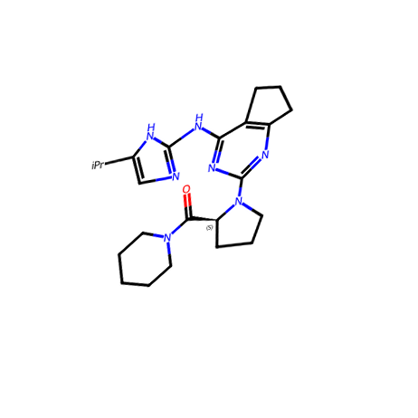 CC(C)c1cnc(Nc2nc(N3CCC[C@H]3C(=O)N3CCCCC3)nc3c2CCC3)[nH]1